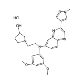 COc1cc(OC)cc(N(CCN2CCC(O)C2)c2ccc3ncc(-c4cnn(C)c4)nc3c2)c1.Cl